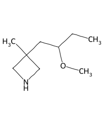 CCC(CC1(C)CNC1)OC